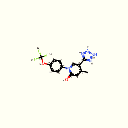 Cc1cc(=O)n(-c2ccc(OC(F)(F)F)cc2)cc1-c1nn[nH]n1